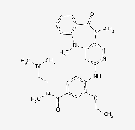 CCOc1cc(C(=O)N(C)CCN(C)C)ccc1Nc1cc2c(cn1)N(C)C(=O)c1ccccc1N2C